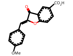 COc1ccc(/C=C2\Oc3ccc(C(=O)O)cc3C2=O)cc1